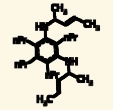 C/C=C/C(C)Nc1c(CCC)c(CCC)c(CCC)c(NC(C)/C=C/C)c1CCC